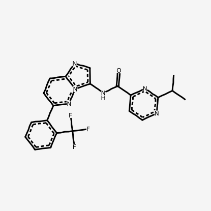 CC(C)c1nccc(C(=O)Nc2cnc3ccc(-c4ccccc4C(F)(F)F)nn23)n1